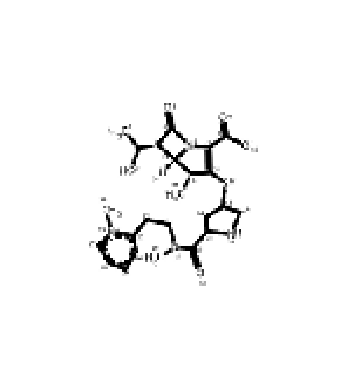 CC(O)[C@H]1C(=O)N2C(C(=O)[O-])=C(SC3CNC(C(=O)N(C)CCc4cccc[n+]4C)C3)[C@@H](C)[C@H]12